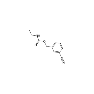 CCNC(=O)OCc1cccc(C#N)c1